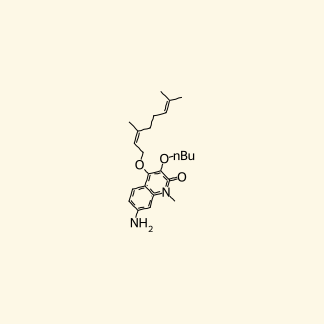 CCCCOc1c(OCC=C(C)CCC=C(C)C)c2ccc(N)cc2n(C)c1=O